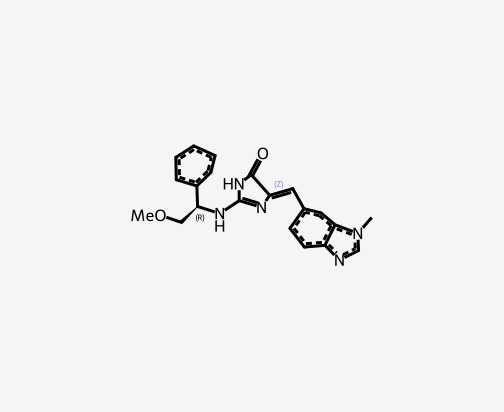 COC[C@H](NC1=N/C(=C\c2ccc3ncn(C)c3c2)C(=O)N1)c1ccccc1